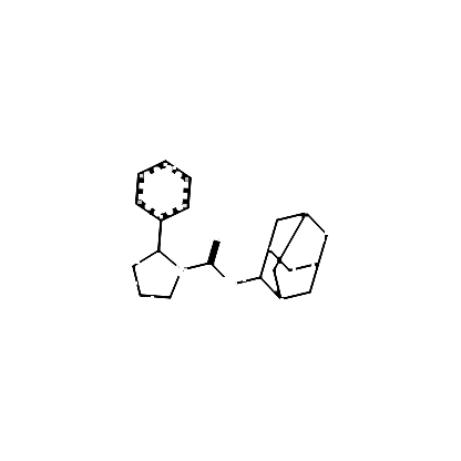 O=C(OC1C2CC3CC(C2)CC1C3)N1CCCC1c1ccccc1